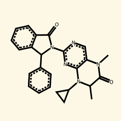 CC1C(=O)N(C)c2cnc(N3C(=O)c4ccccc4C3c3ccccc3)nc2N1C1CC1